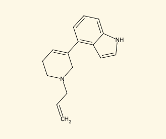 C=CCN1CCC=C(c2cccc3[nH]ccc23)C1